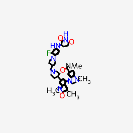 CNC(=O)c1ccc2c(c1)N(c1cc(C3CCN(CC4CCN(c5ccc(NC6CCC(=O)NC6=O)cc5F)CC4)CC3)cc3c1cc(C)c(=O)n3C)CCN2C